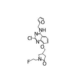 O=C1CC(COc2cccc3c(NCc4ccco4)nc(Cl)nc23)CN1CCF